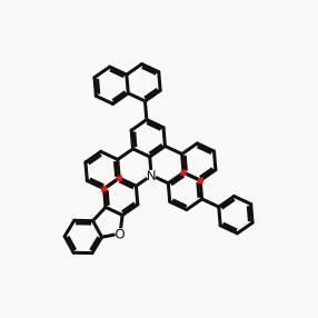 c1ccc(-c2ccc(N(c3ccc4c(c3)oc3ccccc34)c3c(-c4ccccc4)cc(-c4cccc5ccccc45)cc3-c3ccccc3)cc2)cc1